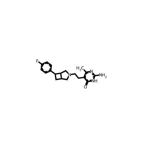 Cc1nc(N)[nH]c(=O)c1CCN1CC2CC(c3ccc(F)cc3)C2C1